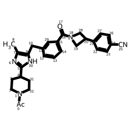 CC(=O)N1CCC(c2nc(C)c(Cc3cccc(C(=O)N4CC(c5ccc(C#N)cc5)C4)c3)[nH]2)CC1